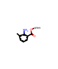 CCCCCCOC(=O)c1cccc(C)c1N